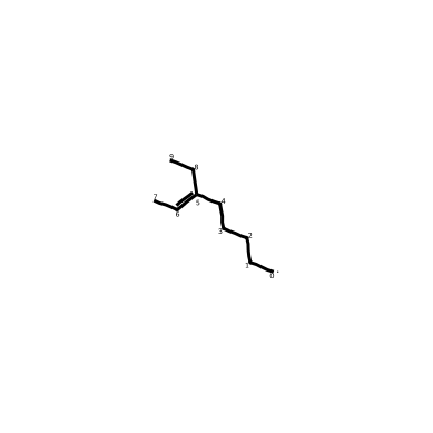 [CH2]CCCCC(=CC)CC